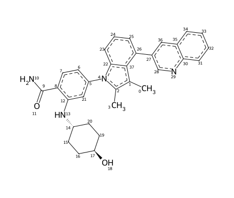 Cc1c(C)n(-c2ccc(C(N)=O)c(N[C@H]3CC[C@H](O)CC3)c2)c2cccc(-c3cnc4ccccc4c3)c12